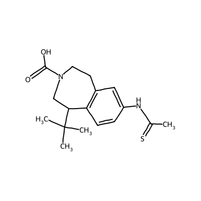 CC(=S)Nc1ccc2c(c1)CCN(C(=O)O)CC2C(C)(C)C